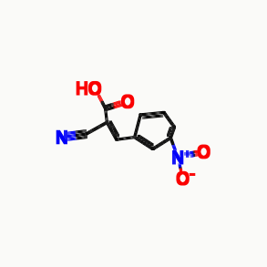 N#CC(=Cc1cccc([N+](=O)[O-])c1)C(=O)O